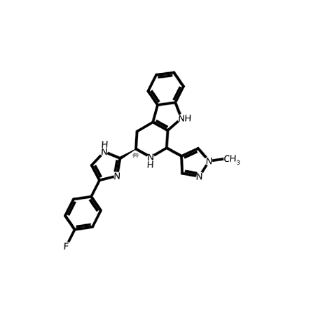 Cn1cc(C2N[C@@H](c3nc(-c4ccc(F)cc4)c[nH]3)Cc3c2[nH]c2ccccc32)cn1